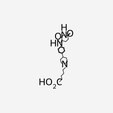 O=C(O)CCCCCN1CCC(c2ccc(NC3CCC(=O)NC3=O)cc2)CC1